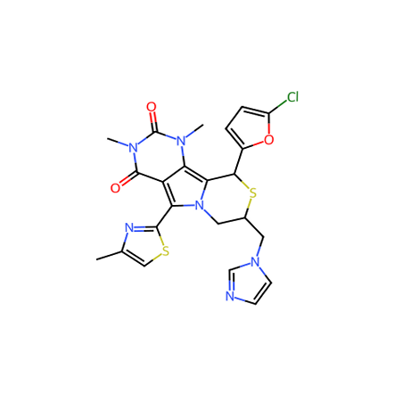 Cc1csc(-c2c3c(=O)n(C)c(=O)n(C)c3c3n2CC(Cn2ccnc2)SC3c2ccc(Cl)o2)n1